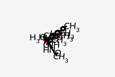 C=C(C)[C@@H]1CC[C@]2(C(=O)NCCNCCC(C)=O)CC[C@]3(C)[C@H](CC[C@@H]4[C@@]5(C)CC=C(c6ccc(C)cc6)C(C)(C)[C@@H]5CC[C@]43C)[C@@H]12